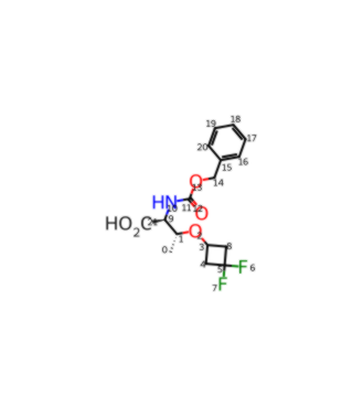 C[C@@H](OC1CC(F)(F)C1)[C@H](NC(=O)OCc1ccccc1)C(=O)O